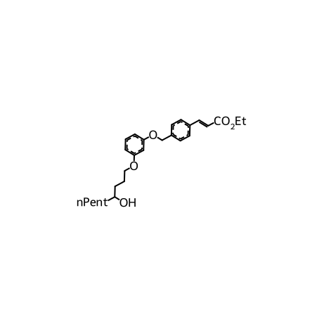 CCCCCC(O)CCCOc1cccc(OCc2ccc(C=CC(=O)OCC)cc2)c1